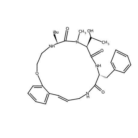 CCC(C)[C@@H]1NCCOc2ccccc2/C=C\CNC(=O)[C@@H](Cc2ccccc2)NC(=O)[C@H](C(C)O)N(C)C1=O